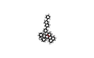 c1ccc(-c2ccc3cc(-c4ccc(N(c5ccc(-c6cccc7cccc(-c8ccccc8)c67)cc5)c5cccc6oc7ccccc7c56)cc4)ccc3c2)cc1